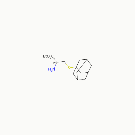 CCOC(=O)[C@@H](N)CSC12CC3CC(CC(C3)C1)C2